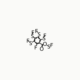 O=C(OSF)c1c(F)c(SF)c(SF)c(SF)c1SF